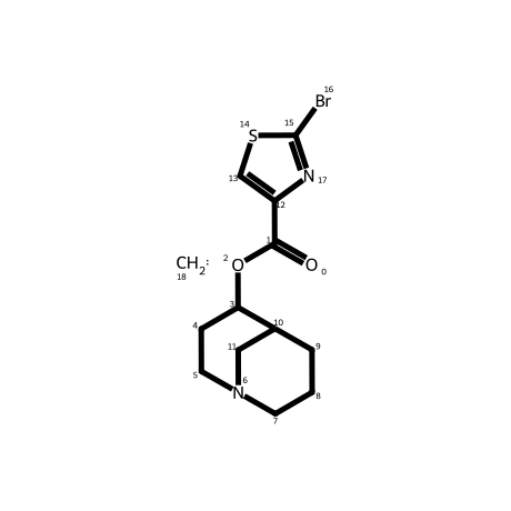 O=C(OC1CCN2CCCC1C2)c1csc(Br)n1.[CH2]